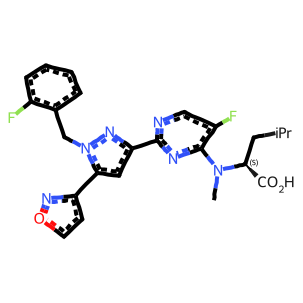 CC(C)C[C@@H](C(=O)O)N(C)c1nc(-c2cc(-c3ccon3)n(Cc3ccccc3F)n2)ncc1F